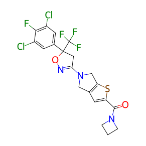 O=C(c1cc2c(s1)CN(C1=NOC(c3cc(Cl)c(F)c(Cl)c3)(C(F)(F)F)C1)C2)N1CCC1